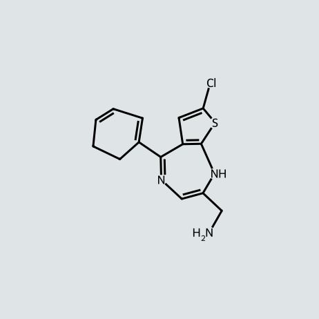 NCC1=CN=C(C2=CC=CCC2)c2cc(Cl)sc2N1